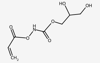 C=CC(=O)ONC(=O)OCC(O)CO